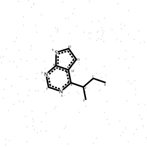 CCC(C)c1ncnc2sccc12